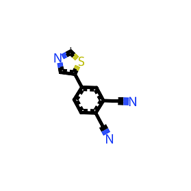 N#Cc1ccc(-c2cn[c]s2)cc1C#N